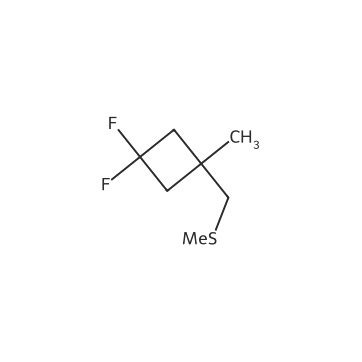 CSCC1(C)CC(F)(F)C1